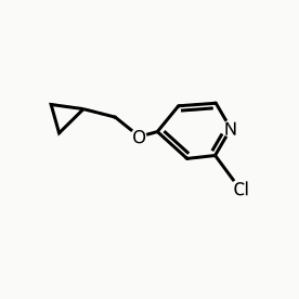 Clc1cc(OCC2CC2)ccn1